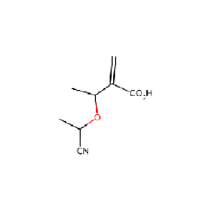 C=C(C(=O)O)C(C)OC(C)C#N